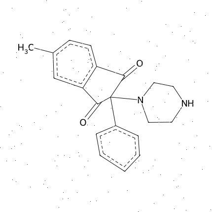 Cc1ccc2c(c1)C(=O)C(c1ccccc1)(N1CCNCC1)C2=O